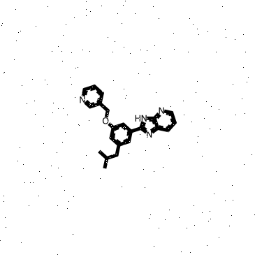 CC(C)Cc1cc(OCc2cccnc2)cc(-c2nc3cccnc3[nH]2)c1